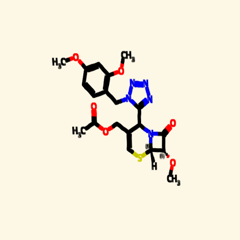 COc1ccc(Cn2nnnc2C2C(COC(C)=O)=CS[C@H]3[C@@H](OC)C(=O)N23)c(OC)c1